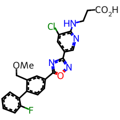 COCc1cc(-c2nc(-c3cnc(NCCC(=O)O)c(Cl)c3)no2)ccc1-c1ccccc1F